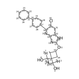 [2H]C([2H])(O)C1(C([2H])([2H])O)CC(Oc2nc3nc(-c4ccc(-c5ccccc5)cc4)c(Cl)cc3[nH]2)C1